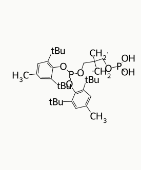 [CH2]C([CH2])(COP(O)O)COP(Oc1c(C(C)(C)C)cc(C)cc1C(C)(C)C)Oc1c(C(C)(C)C)cc(C)cc1C(C)(C)C